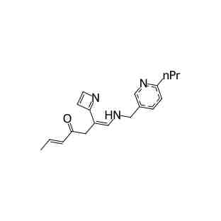 CC=CC(=O)C/C(=C/NCc1ccc(CCC)nc1)C1=NC=C1